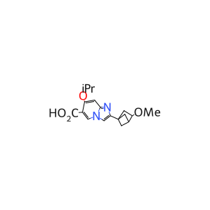 COC1CC2(c3cn4cc(C(=O)O)c(OC(C)C)cc4n3)CC1C2